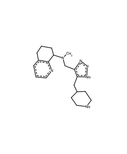 CN(Cc1nn[nH]c1CC1CCNCC1)C1CCCc2cccnc21